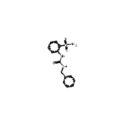 NS(=O)(=O)c1ccccc1NC(=O)NCc1ccccc1